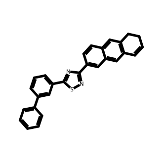 C1=Cc2cc3cc(-c4nsc(-c5cccc(-c6ccccc6)c5)n4)ccc3cc2CC1